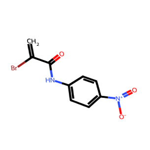 C=C(Br)C(=O)Nc1ccc([N+](=O)[O-])cc1